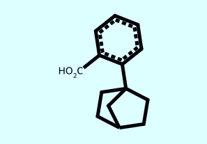 O=C(O)c1ccccc1C12CCC(CC1)C2